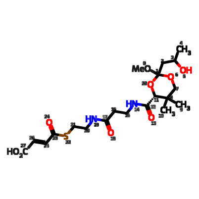 COC1(CC(C)O)OCC(C)(C)[C@H](C(=O)NCCC(=O)NCCSC(=O)/C=C/C(=O)O)O1